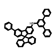 c1ccc(-c2cc(Nc3ccc4c(c3)-c3cc(-c5ccccc5)ccc3C43c4ccccc4-c4ccccc43)cc(-c3ccccc3)c2)cc1